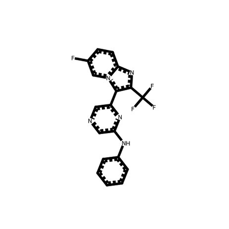 Fc1ccc2nc(C(F)(F)F)c(-c3cncc(Nc4ccccc4)n3)n2c1